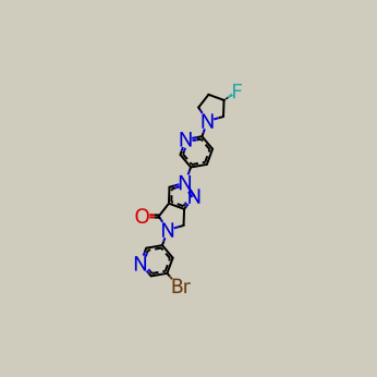 O=C1c2cn(-c3ccc(N4CC[C@@H](F)C4)nc3)nc2CN1c1cncc(Br)c1